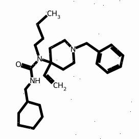 C=CC1(N(CCCC)C(=O)NCC2CCCCC2)CCN(Cc2ccccc2)CC1